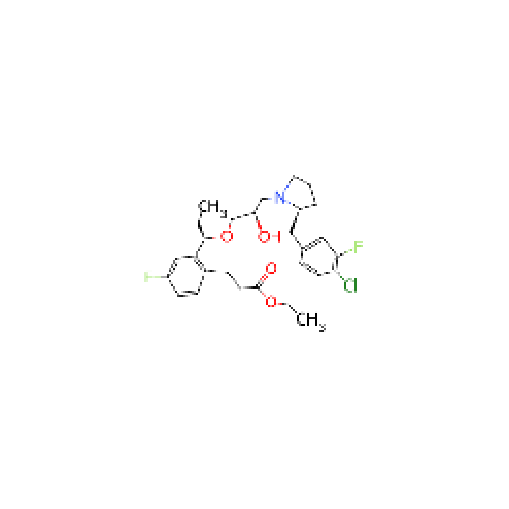 CCOC(=O)CCc1ccc(F)cc1[C@@H](CC)OC[C@H](O)CN1CCC[C@H]1Cc1ccc(Cl)c(F)c1